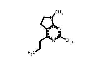 C/C=C/c1nc(C)nc2c1CCN2C